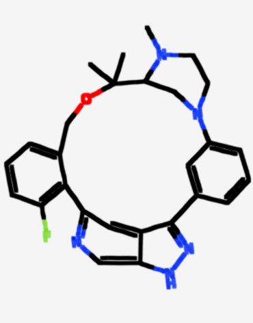 CN1CCN2CC1C(C)(C)OCc1cccc(F)c1-c1cc3c(n[nH]c3cn1)-c1cccc2c1